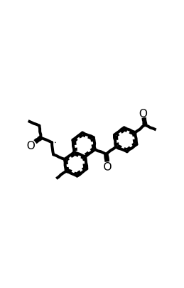 CCC(=O)[CH]Cc1c(C)ccc2c(C(=O)c3ccc(C(C)=O)cc3)cccc12